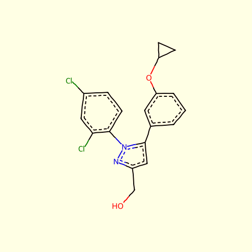 OCc1cc(-c2cccc(OC3CC3)c2)n(-c2ccc(Cl)cc2Cl)n1